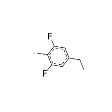 [CH2]c1c(F)cc(CC)cc1F